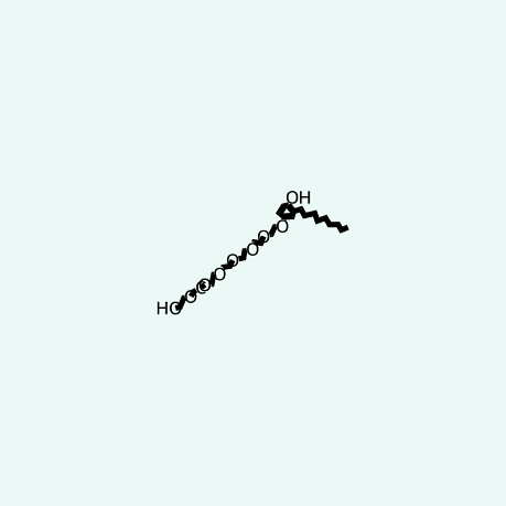 CCCCCCCCCc1cc(OCCOCCOCCOCCOCCOCCOCCO)ccc1O